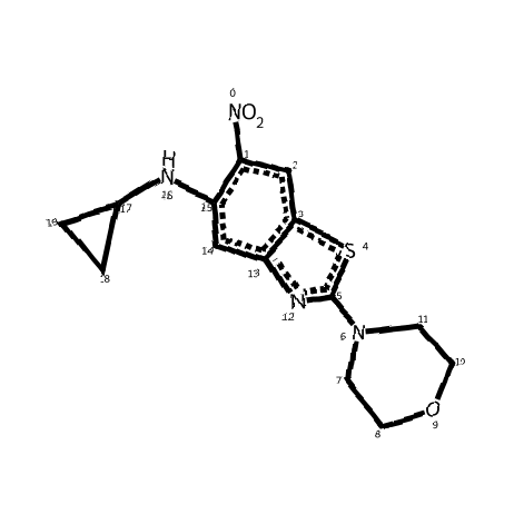 O=[N+]([O-])c1cc2sc(N3CCOCC3)nc2cc1NC1CC1